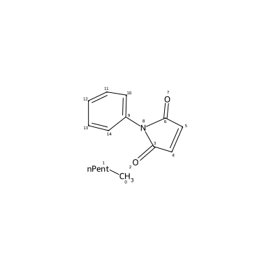 CCCCCC.O=C1C=CC(=O)N1c1ccccc1